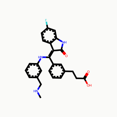 CNCc1cccc(NC(=C2C(=O)Nc3cc(F)ccc32)c2cccc(CCC(=O)O)c2)c1